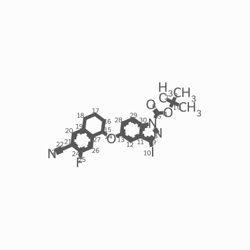 CC(C)(C)OC(=O)n1nc(I)c2cc(OC3CCCc4cc(C#N)c(F)cc43)ccc21